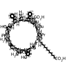 CCCC[C@H]1C(=O)N(C)[C@@H](CCCC)C(=O)N[C@@H](CC(C)C)C(=O)N[C@H](C(=O)NCCCCCCCCCCCCC(=O)O)CSCC(=O)N[C@@H](Cc2ccc(O)cc2)C(=O)N(C)[C@@H](C)C(=O)N[C@@H](CC(N)=O)C(=O)N2CCC[C@H]2C(=O)N[C@@H](CN)C(=O)N[C@@H](CC(C)C)C(=O)N2C[C@H](O)CC2C(=O)N[C@@H](Cc2c[nH]c3ccccc23)C(=O)N[C@@H](CCN)C(=O)N[C@@H](Cc2cn(CC(=O)O)c3ccccc23)C(=O)N1C